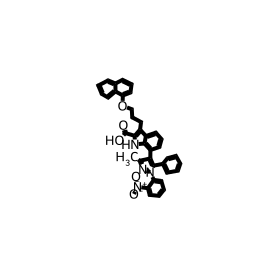 Cc1nn(-c2ccccc2[N+](=O)[O-])c(-c2ccccc2)c1-c1cccc2c(CCCOc3cccc4ccccc34)c(C(=O)O)[nH]c12